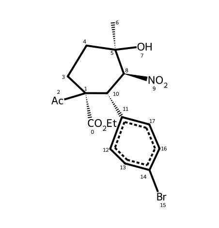 CCOC(=O)[C@]1(C(C)=O)CC[C@@](C)(O)[C@@H]([N+](=O)[O-])[C@@H]1c1ccc(Br)cc1